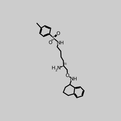 Cc1ccc(S(=O)(=O)NCCCC[C@H](N)CONC2CCCc3ccccc32)cc1